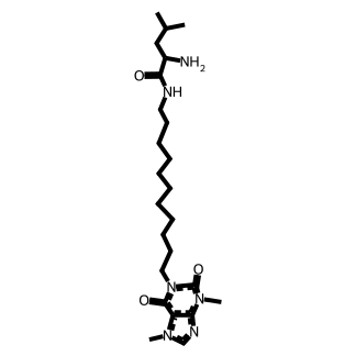 CC(C)CC(N)C(=O)NCCCCCCCCCCCn1c(=O)c2c(ncn2C)n(C)c1=O